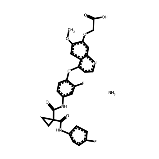 COc1cc2c(Oc3ccc(NC(=O)C4(C(=O)Nc5ccc(F)cc5)CC4)cc3F)ccnc2cc1OCC(=O)O.N